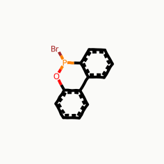 BrP1Oc2ccccc2-c2ccccc21